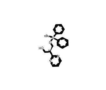 CC(C)(C)[Si](OC[C@H](CO)c1ncccn1)(c1ccccc1)c1ccccc1